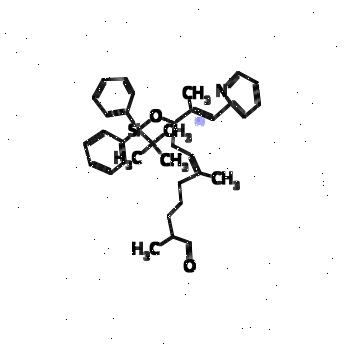 CC(=CCC(O[Si](c1ccccc1)(c1ccccc1)C(C)(C)C)/C(C)=C/c1ccccn1)CCCC(C)C=O